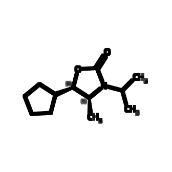 CC(C)N1C(=O)O[C@H](C2CCCC2)[C@@H]1C